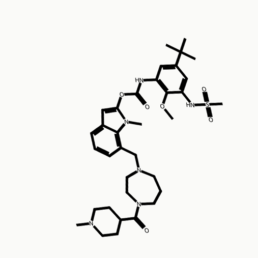 COc1c(NC(=O)Oc2cc3cccc(CN4CCCN(C(=O)C5CCN(C)CC5)CC4)c3n2C)cc(C(C)(C)C)cc1NS(C)(=O)=O